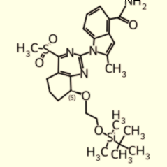 Cc1cc2c(C(N)=O)cccc2n1-c1nc2c(c(S(C)(=O)=O)n1)CCC[C@@H]2OCCO[Si](C)(C)C(C)(C)C